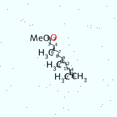 COC(=O)C/C=C(\C)CC/C=C(\C)CCC=C(C)C